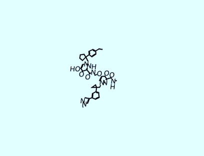 CCc1ccc(C2(Cn3cc(O)c(=O)c(C(=O)NCOc4cn(CC5(c6cccc(-c7cnn(C)c7)c6)CC5)nc(C(=O)NC)c4=O)n3)CCCC2)cc1